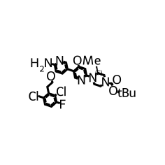 COc1cc(N2CCN(C(=O)OC(C)(C)C)C[C@@H]2C)ncc1-c1cnc(N)c(OCCc2c(Cl)ccc(F)c2Cl)c1